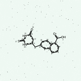 O=C(O)c1cccc2cc(Cc3cc(=O)[nH]c(=S)[nH]3)ccc12